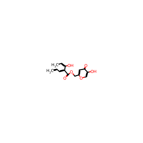 C=C/C=C(C(=O)OCc1cc(=O)c(O)co1)\C(O)=C/C